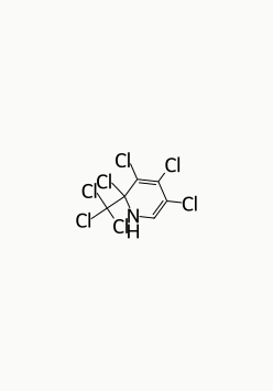 ClC1=CNC(Cl)(C(Cl)(Cl)Cl)C(Cl)=C1Cl